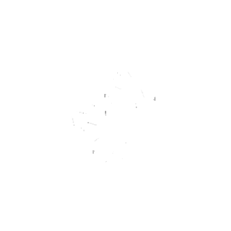 CNC(=O)C(=O)CCC(NC(=O)C1CCCN1C(C)=O)C(=O)Nc1cccn(CC(=O)NC2C3CC4CC(C3)CC2C4)c1=O